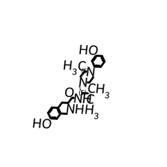 CC(C)[C@@H](CN1CCN(c2cccc(O)c2)[C@@H](C)C1)NC(=O)C1Cc2ccc(O)cc2CN1